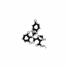 NC(=O)c1[nH]cnc1C(=O)N(c1nc2ccc(Cl)cc2[nH]1)c1c(Cl)cccc1Cl